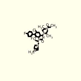 C=CC(=O)N1C[C@H](C)N(c2nc(=O)n3c4c(c(-c5ccc(F)cc5F)c(Cl)cc24)OC[C@H]3CN2CC3CC2=CN3C)C[C@H]1C